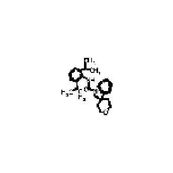 CC(C)c1cccc(C(C)C)c1NC(=O)NCC1(c2ccccc2)CCOCC1